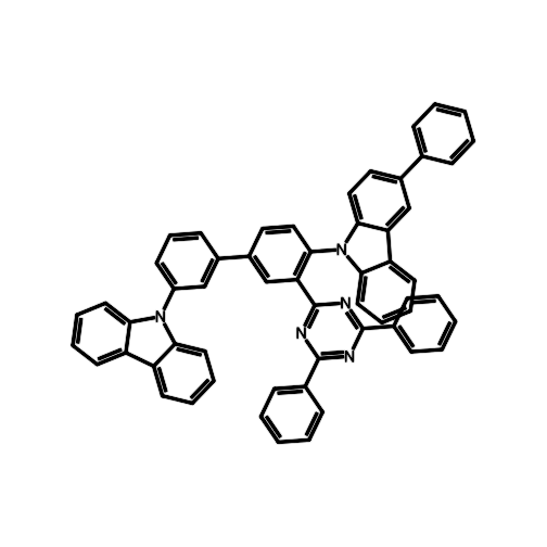 c1ccc(-c2ccc3c(c2)c2ccccc2n3-c2ccc(-c3cccc(-n4c5ccccc5c5ccccc54)c3)cc2-c2nc(-c3ccccc3)nc(-c3ccccc3)n2)cc1